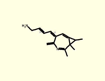 C=C1N=C(C)C2(C)C(=C/C1=C/C=C/CN)C2C